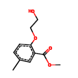 COC(=O)c1cc(C)ccc1OCCO